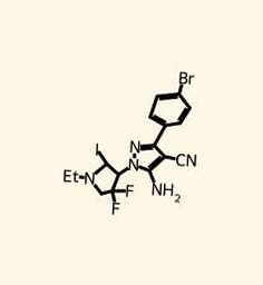 CCN1CC(F)(F)C(n2nc(-c3ccc(Br)cc3)c(C#N)c2N)C1I